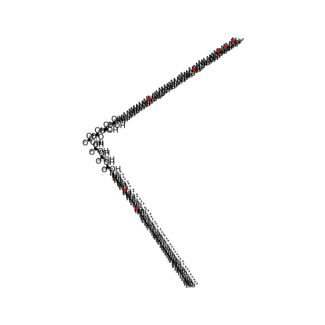 O=C(O)O.O=C(O)O.O=C(O)O.O=C(O)O.O=C(O)O.O=C(O)O.O=C(O)O.[Na+].[Na+].[Na+].[Na+].[Na+].[Na+].[Na+].[Na+].[Na+].[Na+].[Na+].[Na+].[Na+].[Na+].[Na+].[Na+].[Na+].[Na+].[Na+].[Na+].[Na+].[Na+].[Na+].[Na+].[Na+].[Na+].[Na+].[Na+].[Na+].[Na+].[Na+].[Na+].[Na+].[Na+].[Na+].[Na+].[Na+].[Na+].[Na+].[Na+].[Na+].[Na+].[Na+].[Na+].[Na+].[Na+].[Na+].[Na+].[Na+].[Na+].[Na+].[Na+].[Na+].[Na+].[Na+].[Na+].[Na+].[Na+].[Na+].[Na+].[Na+].[Na+].[Na+].[Na+].[Na+].[Na+].[Na+].[Na+].[Na+].[Na+].[Na+].[Na+].[Na+].[Na+].[Na+].[Na+].[Na+].[Na+].[Na+].[Na+].[Na+].[Na+].[Na+].[Na+].[Na+].[Na+].[Na+].[Na+].[Na+].[Na+].[Na+].[Na+].[Na+].[Na+]